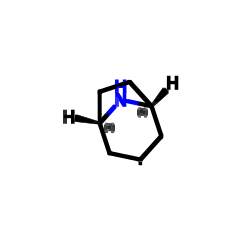 [CH]1C[C@@H]2CC[C@H](C1)N2